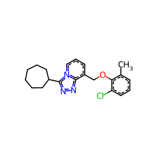 Cc1cccc(Cl)c1OCc1cccn2c(C3CCCCCC3)nnc12